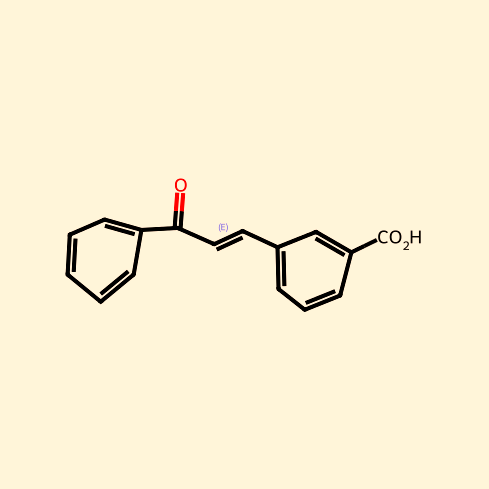 O=C(O)c1cccc(/C=C/C(=O)c2ccccc2)c1